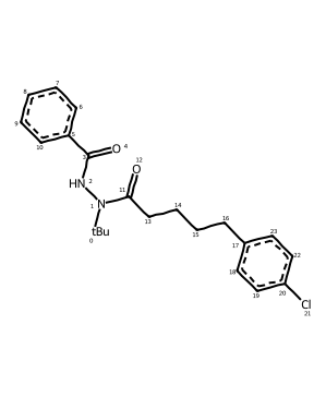 CC(C)(C)N(NC(=O)c1ccccc1)C(=O)CCCCc1ccc(Cl)cc1